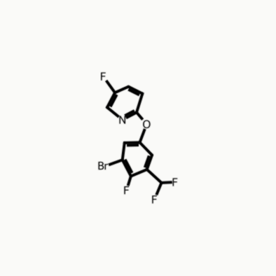 Fc1ccc(Oc2cc(Br)c(F)c(C(F)F)c2)nc1